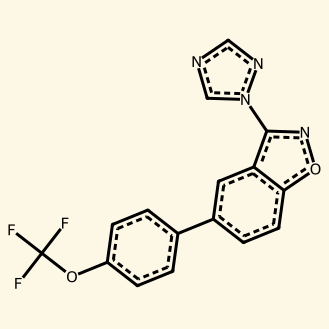 FC(F)(F)Oc1ccc(-c2ccc3onc(-n4cncn4)c3c2)cc1